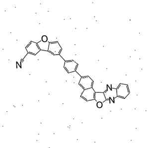 N#Cc1ccc2oc3ccc(-c4ccc(-c5ccc6c(ccc7oc8nc9ccccc9nc8c76)c5)cc4)cc3c2c1